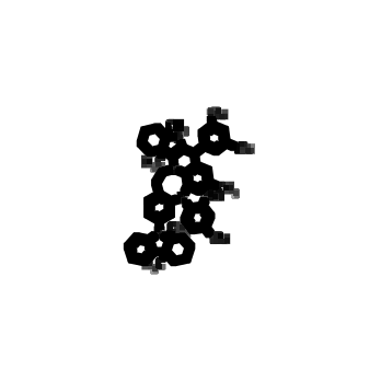 Cc1cc2c3c(c1)N(c1ccc(C(C)(C)C)cc1C(C)(C)C)c1cc(N4c5ccccc5C5(C)CCCCC45C)ccc1CCB3C1=C(SC3(C)CCCCC13C)C2c1cc(C(C)(C)C)cc(C(C)(C)C)c1